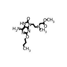 CCCCOc1nc(N)c2[nH]c(=O)n(CCN(C)CC(=O)OC)c2n1